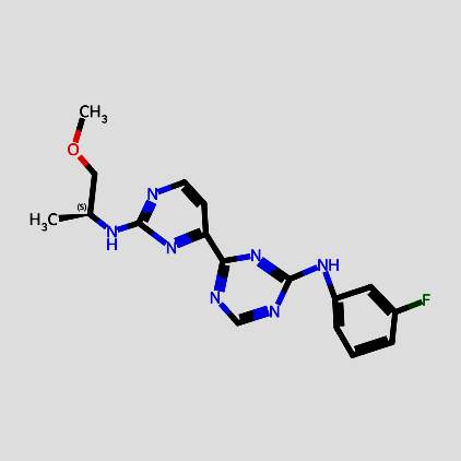 COC[C@H](C)Nc1nccc(-c2ncnc(Nc3cccc(F)c3)n2)n1